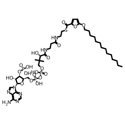 CCCCCCCCCCCCCCOc1ccc(C(=O)SCCNC(=O)CCNC(=O)[C@H](O)C(C)(C)COP(=O)(O)OP(=O)(O)OC[C@H]2O[C@@H](n3cnc4c(N)ncnc43)[C@H](O)[C@@H]2OP(=O)(O)O)o1